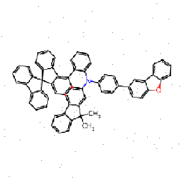 CC1(C)c2ccccc2-c2ccc(N(c3ccc(-c4ccc5oc6ccccc6c5c4)cc3)c3ccccc3-c3cccc4c3-c3ccccc3C43c4ccccc4-c4ccccc43)cc21